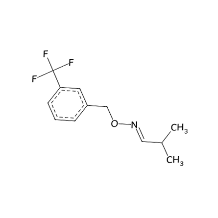 CC(C)C=NOCc1cccc(C(F)(F)F)c1